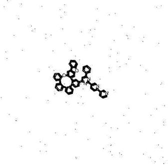 c1ccc(-c2cc(-c3ccc4c(c3)-c3cc5oc6ccccc6c5cc3Oc3ccccc3-c3ccccc3-c3ccccc3-4)nc(-c3ccc(-c4cccnc4)nc3)n2)cc1